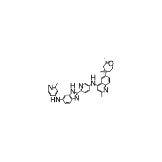 Cc1cc(Nc2ccc3nc(-c4ccc(Nc5cc(C)nc6ccc([C@@]7(C)CCO[C@@H](C)C7)cc56)cn4)[nH]c3c2)ccn1